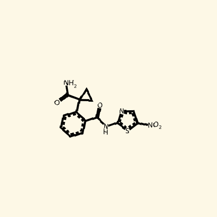 NC(=O)C1(c2ccccc2C(=O)Nc2ncc([N+](=O)[O-])s2)CC1